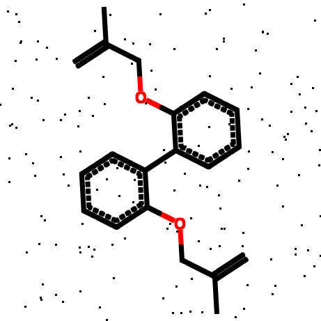 C=C(C)COc1ccccc1-c1ccccc1OCC(=C)C